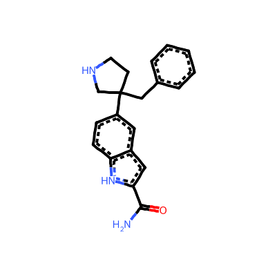 NC(=O)c1cc2cc(C3(Cc4ccccc4)CCNC3)ccc2[nH]1